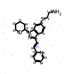 NCCSc1ccc2c(/C=C/c3ccccn3)nn(C3CCCCO3)c2c1